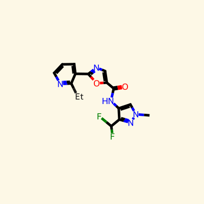 CCc1ncccc1-c1ncc(C(=O)Nc2cn(C)nc2C(F)F)o1